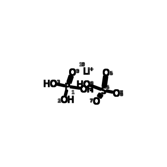 O=P(O)(O)O.O=S(=O)([O-])O.[Li+]